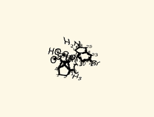 CC12CCC(C(S(=O)(=O)O)C1=O)C2(C)C.N[C@H]1Cc2ccc(Br)cc2C1